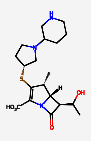 CC(O)[C@H]1C(=O)N2C(C(=O)O)=C(S[C@@H]3CCN(C4CCCNC4)C3)[C@H](C)[C@H]12